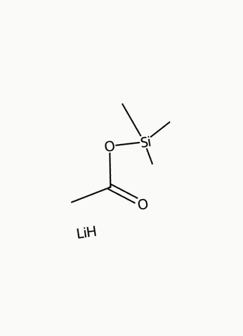 CC(=O)O[Si](C)(C)C.[LiH]